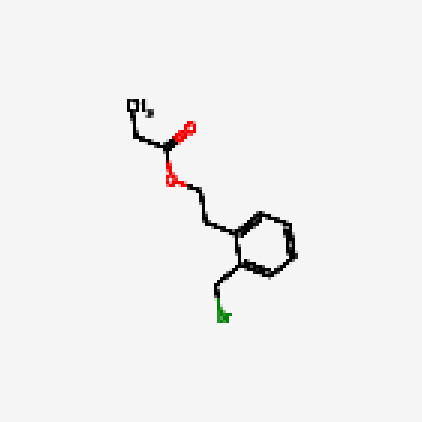 CCC(=O)OCCc1ccccc1CBr